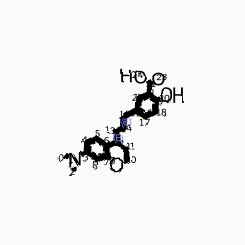 CN(C)c1ccc2c(c1)OC=C/C2=C\C=C\c1ccc(O)c(C(=O)O)c1